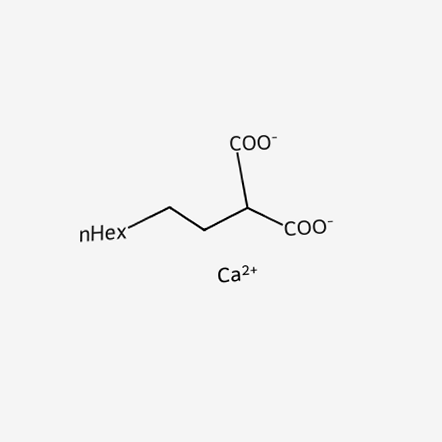 CCCCCCCCC(C(=O)[O-])C(=O)[O-].[Ca+2]